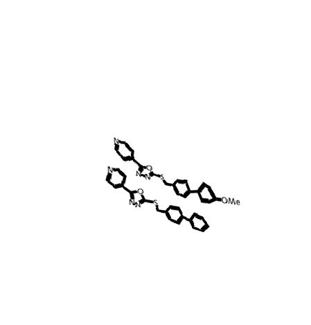 COc1ccc(-c2ccc(CSc3nnc(-c4ccncc4)o3)cc2)cc1.c1ccc(-c2ccc(CSc3nnc(-c4ccncc4)o3)cc2)cc1